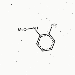 CCCc1ccc[c]c1NOC